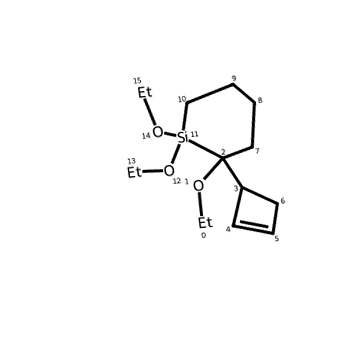 CCOC1(C2C=CC2)CCCC[Si]1(OCC)OCC